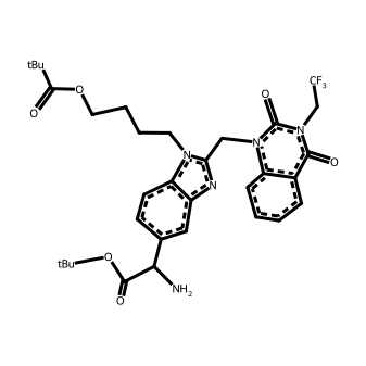 CC(C)(C)OC(=O)C(N)c1ccc2c(c1)nc(Cn1c(=O)n(CC(F)(F)F)c(=O)c3ccccc31)n2CCCCOC(=O)C(C)(C)C